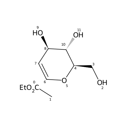 CCOC(C)=O.OC[C@H]1OC=C[C@@H](O)[C@@H]1O